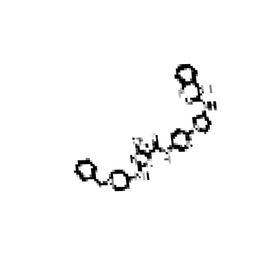 O=C(Nc1ccccc1F)NC1CCN(c2ccc(NC(=O)c3oc(NC4CCN(Cc5ccccc5)CC4)nc3C(F)(F)F)cn2)C1